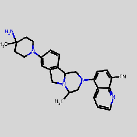 CC1CN(c2ccc(C#N)c3ncccc23)CC2c3ccc(N4CCC(C)(N)CC4)cc3CN12